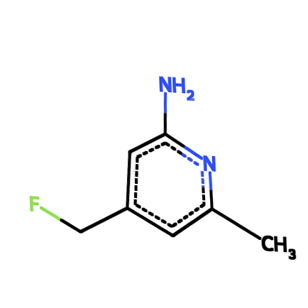 Cc1cc(CF)cc(N)n1